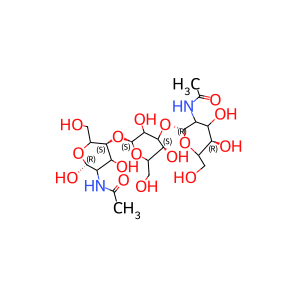 CC(=O)NC1C(O)[C@@H](O)C(CO)O[C@@H]1OC1C(O)[C@H](O[C@@H]2C(CO)O[C@@H](O)C(NC(C)=O)C2O)OC(CO)[C@@H]1O